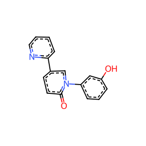 O=c1ccc(-c2ccccn2)cn1-c1cccc(O)c1